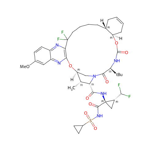 COc1ccc2nc3c(nc2c1)O[C@H]1CN(C(=O)[C@H](C(C)(C)C)NC(=O)O[C@@H]2CC=CC[C@H]2CCCCC3(F)F)[C@H](C(=O)N[C@]2(C(=O)NS(=O)(=O)C3CC3)C[C@H]2C(F)F)[C@@H]1C